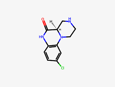 O=C1Nc2ccc(Cl)cc2N2CCNC[C@H]12